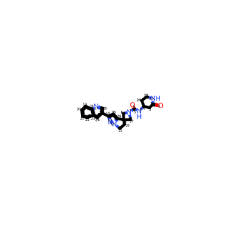 O=C1CC(NC(=O)N2CC3(CCn4nc(-c5cnc6ccccc6c5)cc43)C2)CCN1